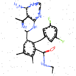 CCNC(=O)c1c(C)c(C)cc(C(C)Nc2ncnc(N)c2C(C)=N)c1-c1cc(F)cc(F)c1